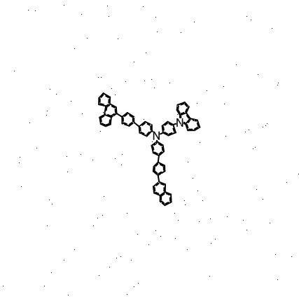 c1ccc2cc(-c3ccc(-c4ccc(N(c5ccc(-c6ccc(-c7cc8ccccc8c8ccccc78)cc6)cc5)c5ccc(-n6c7ccccc7c7ccccc76)cc5)cc4)cc3)ccc2c1